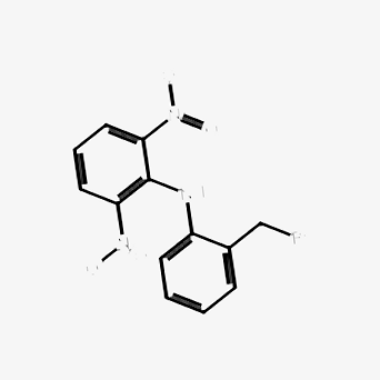 O=[N+]([O-])c1cccc([N+](=O)[O-])c1Nc1ccccc1CBr